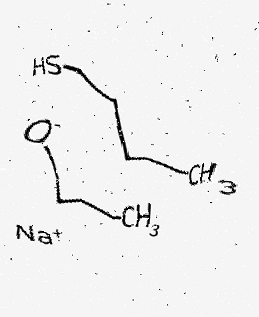 CCCS.CC[O-].[Na+]